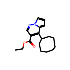 CCOC(=O)c1cnn2cccc2c1C1CCCCCCC1